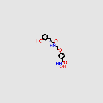 O=C(/C=C/c1cccc(O)c1)NCCOc1ccc(C(=O)NO)cc1